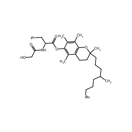 CCC(C)CCCC(C)CCCC1(C)CCc2c(C)c(OC(=O)C(CC(C)C)NC(=O)CO)c(C)c(C)c2O1